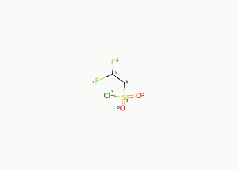 O=S(=O)(Cl)CC(F)F